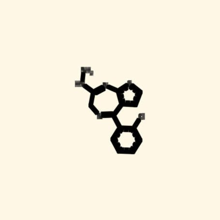 NNC1=Nc2sccc2C(c2ccccc2Cl)=NC1